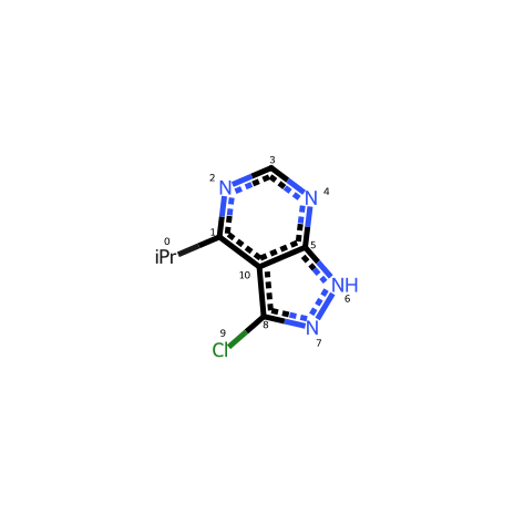 CC(C)c1ncnc2[nH]nc(Cl)c12